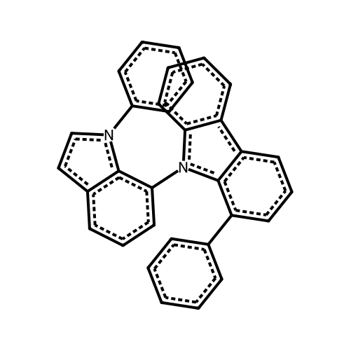 c1ccc(-c2cccc3c4ccccc4n(-c4cccc5ccn(-c6ccccc6)c45)c23)cc1